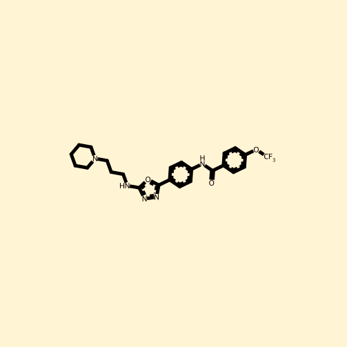 O=C(Nc1ccc(-c2nnc(NCCCN3CCCCC3)o2)cc1)c1ccc(OC(F)(F)F)cc1